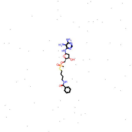 CP(=O)(OC[C@H]1O[C@@H](Nc2ncnc(N)c2N)C[C@H]1O)SCCCCNC(=O)c1ccccc1